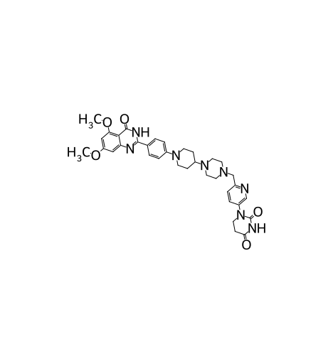 COc1cc(OC)c2c(=O)[nH]c(-c3ccc(N4CCC(N5CCN(Cc6ccc(N7CCC(=O)NC7=O)cn6)CC5)CC4)cc3)nc2c1